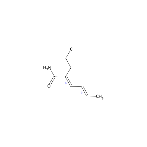 C/C=C/C=C(\CCCl)C(N)=O